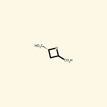 O=C(O)C1C[C@H](C(=O)O)O1